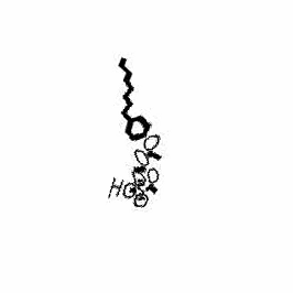 CCCCCCCCc1ccc(OC(C)OC(C)OC(C)S(=O)(=O)O)cc1